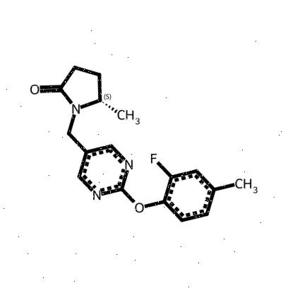 Cc1ccc(Oc2ncc(CN3C(=O)CC[C@@H]3C)cn2)c(F)c1